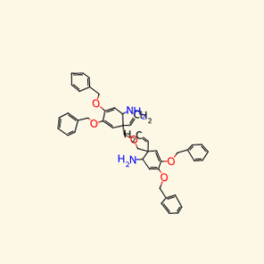 C=CC1(COCC2(C=C)C=C(OCc3ccccc3)C(OCc3ccccc3)=CC2N)C=C(OCc2ccccc2)C(OCc2ccccc2)=CC1N